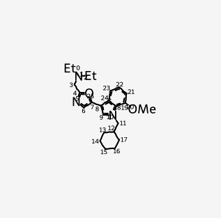 CCN(CC)Cc1ncc(-c2cn(CC3CCCCC3)c3c(OC)cccc23)o1